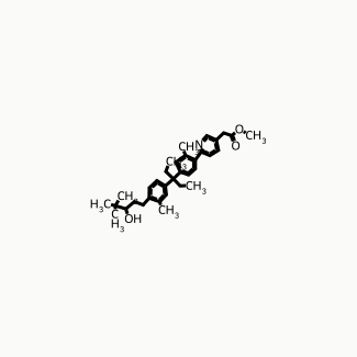 CCC(CC)(c1ccc(CCC(O)C(C)(C)C)c(C)c1)c1ccc(-c2ccc(CC(=O)OC)cn2)c(C)c1